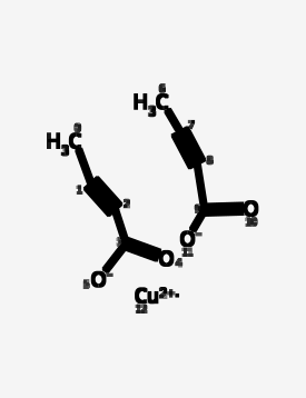 CC#CC(=O)[O-].CC#CC(=O)[O-].[Cu+2]